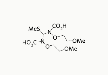 COCCON(C(=O)O)C(SC)N(OCCOC)C(=O)O